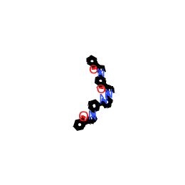 c1cc(-c2cccc(-n3ccc4c5cc(-n6ccc7c8ccccc8oc76)ccc5oc43)n2)cc(-n2ccc3c4ccccc4oc32)c1